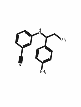 CCC(Nc1cccc(C#N)c1)c1ccc(N)cc1